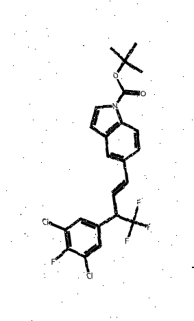 CC(C)(C)OC(=O)n1ccc2cc(C=CC(c3cc(Cl)c(F)c(Cl)c3)C(F)(F)F)ccc21